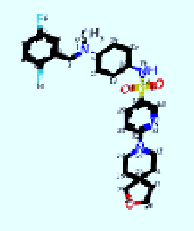 CN(Cc1cc(F)ccc1F)[C@H]1CC[C@H](NS(=O)(=O)c2ccc(N3CCC4(CCOC4)CC3)nc2)CC1